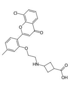 Cc1ccc(-c2cc(=O)c3cccc(Cl)c3o2)c(OCCNC2CC(C(=O)O)C2)c1